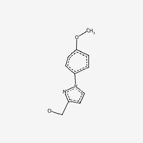 COc1ccc(-n2ccc(CCl)n2)cc1